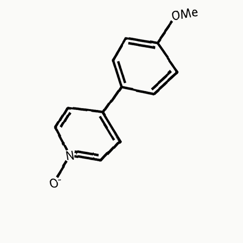 COc1ccc(-c2cc[n+]([O-])cc2)cc1